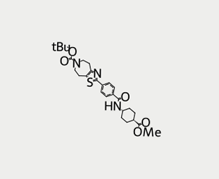 COC(=O)[C@H]1CC[C@H](NC(=O)c2ccc(-c3nc4c(s3)CCN(C(=O)OC(C)(C)C)CC4)cc2)CC1